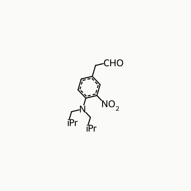 CC(C)CN(CC(C)C)c1ccc(CC=O)cc1[N+](=O)[O-]